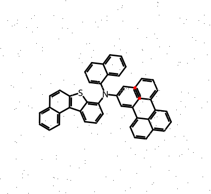 c1ccc(-c2cccc3cccc(-c4cccc(N(c5cccc6ccccc56)c5cccc6c5sc5ccc7ccccc7c56)c4)c23)cc1